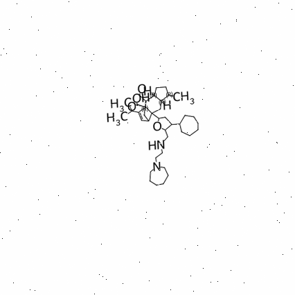 CC(C)C1=CC2CC3(C=O)[C@@H]4CC[C@@H](C)[C@H]4CC2(C2CC(C4CCCCCC4)C(CNCCN4CCCCCC4)O2)[C@]13C(=O)O